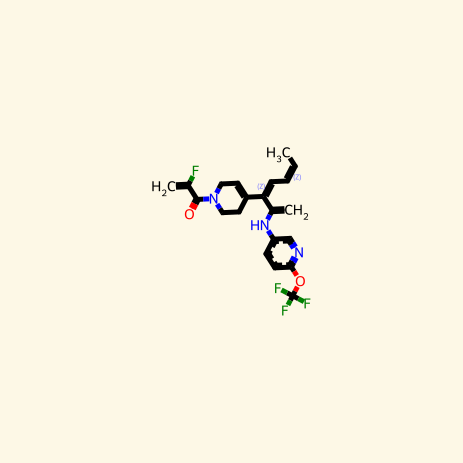 C=C(F)C(=O)N1CC=C(/C(=C/C=C\C)C(=C)Nc2ccc(OC(F)(F)F)nc2)CC1